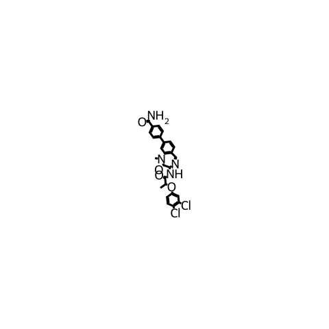 CC(Oc1ccc(Cl)c(Cl)c1)C(=O)NC1N=Cc2ccc(-c3ccc(C(N)=O)cc3)cc2N(C)C1=O